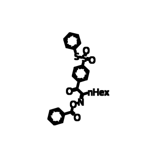 CCCCCCC(=NOC(=O)c1ccccc1)C(=O)c1ccc(S(=O)(=O)Sc2ccccc2)cc1